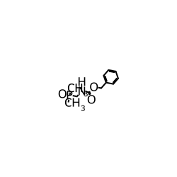 CP(C)(=O)CNC(=O)OCc1ccccc1